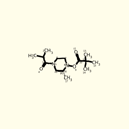 CC(C)C(=O)N1CCN(OC(=O)C(C)(C)C)[C@H](C)C1